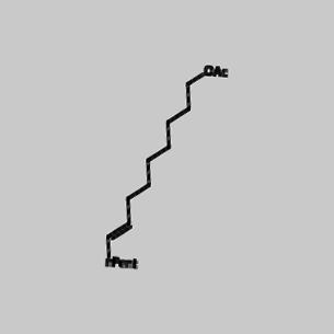 CCCCCC=CCCCCCCCOC(C)=O